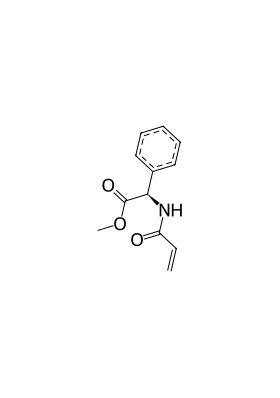 C=CC(=O)N[C@@H](C(=O)OC)c1ccccc1